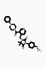 CC1(C)C(=O)N(c2ccc(SC(F)(F)F)cc2)C(=O)N1Cc1ccncc1C(=O)N1CCN(c2ccccc2)CC1